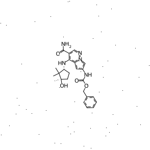 CC1(C)[C@H](Nc2c(C(N)=O)cnn3cc(NC(=O)OCc4ccccc4)cc23)CC[C@@]1(C)O